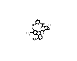 Cc1cc2c3c(N)ncnc3n(CC(=O)N3C4C[C@@H]4C[C@H]3C(=O)Nc3cccc(Br)n3)c2cc1F